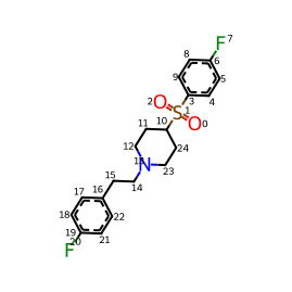 O=S(=O)(c1ccc(F)cc1)C1CCN(CCc2ccc(F)cc2)CC1